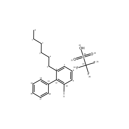 CCCCCCc1cccc(I)c1-c1ccccc1.O=S(=O)(O)C(F)(F)F